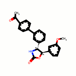 COc1cccc([C@H]2OC(=O)N[C@@H]2c2cccc(-c3ccc(C(C)=O)cc3)c2)c1